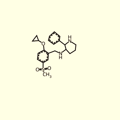 CS(=O)(=O)c1ccc(OC2CC2)c(CNC2CCCNC2c2ccccc2)c1